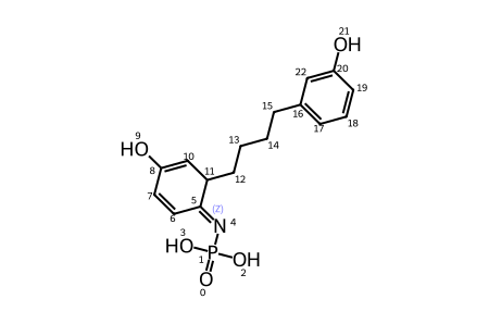 O=P(O)(O)/N=C1\C=CC(O)=CC1CCCCc1cccc(O)c1